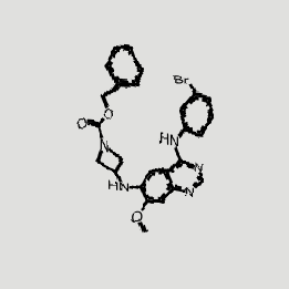 COc1cc2ncnc(Nc3cccc(Br)c3)c2cc1NC1CN(C(=O)OCc2ccccc2)C1